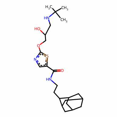 CC(C)(C)NCC(O)COc1ncc(C(=O)NCCC2C3CC4CC(C3)CC2C4)s1